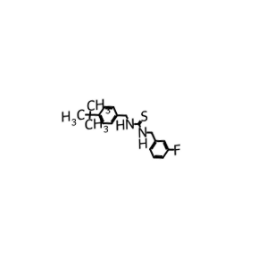 CC(C)(C)c1ccc(CNC(=S)NCc2cccc(F)c2)cc1